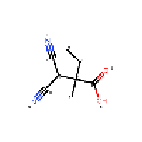 CCC(C)(C(=O)O)C(C#N)C#N